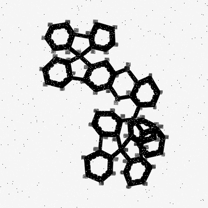 c1ccc(N(c2cccc3c2Oc2cc4c(cc2O3)C2(c3ccccc3-c3ccccc32)c2ccccc2-4)c2cccc3c2C2(c4ccccc4-c4ccccc42)c2ccccc2-3)cc1